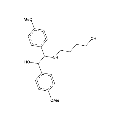 COc1ccc(C(O)C(NCCCCO)c2ccc(OC)cc2)cc1